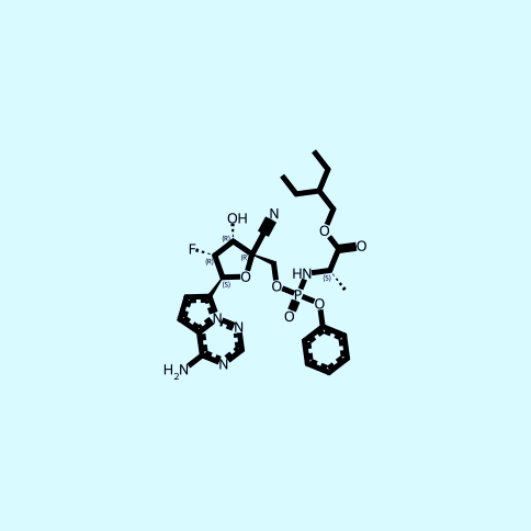 CCC(CC)COC(=O)[C@H](C)NP(=O)(OC[C@@]1(C#N)O[C@@H](c2ccc3c(N)ncnn23)[C@H](F)[C@@H]1O)Oc1ccccc1